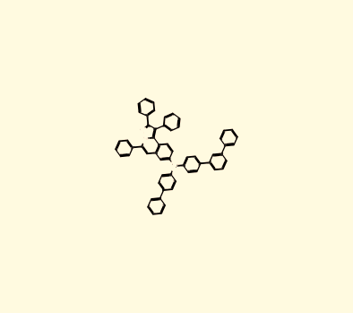 c1ccc(-c2ccc(N(c3ccc(-c4cccc(-c5ccccc5)c4)cc3)c3ccc4c(c3)cc(-c3ccccc3)n3nc(-c5ccccc5)c(-c5ccccc5)c43)cc2)cc1